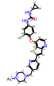 [CH2]C(=O)N1CCN(Cc2ccc(-c3cc4nccc(Oc5ccc(NC(=O)NC6CC6)cc5F)c4s3)nc2)CC1